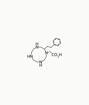 O=C(O)CN1CCNCCNCCNCC1CCc1ccccc1